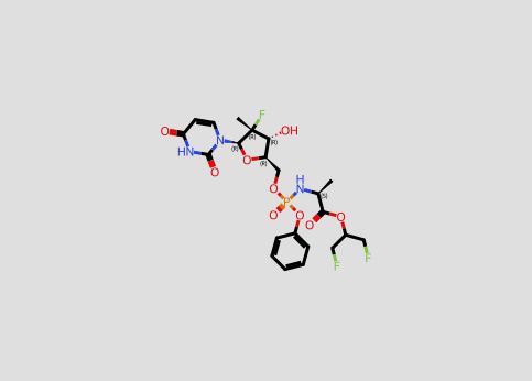 C[C@H](NP(=O)(OC[C@H]1O[C@@H](n2ccc(=O)[nH]c2=O)[C@](C)(F)[C@@H]1O)Oc1ccccc1)C(=O)OC(CF)CF